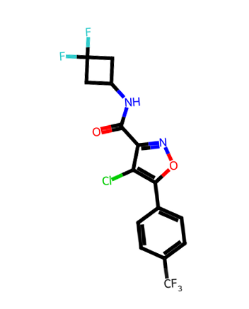 O=C(NC1CC(F)(F)C1)c1noc(-c2ccc(C(F)(F)F)cc2)c1Cl